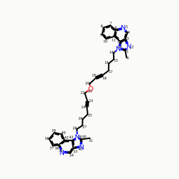 Cc1nc2cnc3ccccc3c2n1CCCCC#CCOCC#CCCCCn1c(C)nc2cnc3ccccc3c21